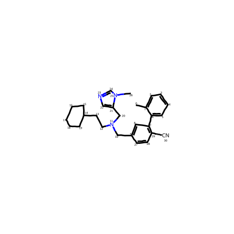 Cc1ccccc1-c1cc(CN(CCC2CCCCC2)Cc2cncn2C)ccc1C#N